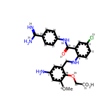 COc1cc(N)cc(CNc2ccc(Cl)cc2C(=O)Nc2ccc(C(=N)N)cc2)c1OCC(=O)O